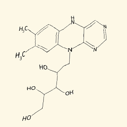 Cc1cc2c(cc1C)N(CC(O)C(O)C(O)CO)c1ncncc1N2